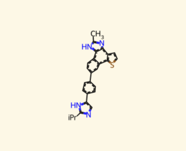 Cc1nc2c3ccsc3c3cc(-c4ccc(-c5cnc(C(C)C)[nH]5)cc4)ccc3c2[nH]1